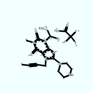 CC#CCn1c(N2CCNCC2)nc2c1c(=O)n(C)c(=O)n2C(CC)C(=O)OCC.O=C(O)C(F)(F)F